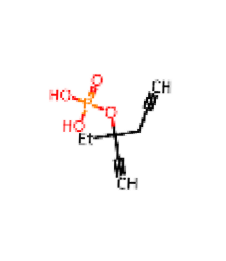 C#CCC(C#C)(CC)OP(=O)(O)O